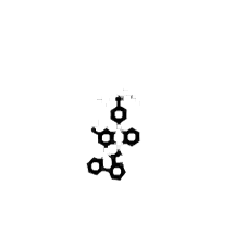 C=Cc1cc2c3c(c1)N1c4ccccc4-c4cccc5sc(c1c45)B3c1ccccc1N2c1ccc(C(C)(C)C)cc1